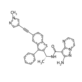 C[C@@H](NC(=O)c1c(N)nn2cccnc12)c1sc2ccc(C#Cc3cnn(C)c3)cc2c1-c1ccccc1